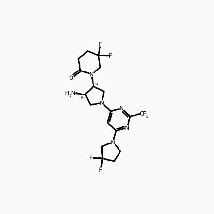 N[C@@H]1CN(c2cc(N3CCC(F)(F)C3)nc(C(F)(F)F)n2)C[C@@H]1N1CC(F)(F)CCC1=O